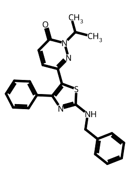 CC(C)n1nc(-c2sc(NCc3ccccc3)nc2-c2ccccc2)ccc1=O